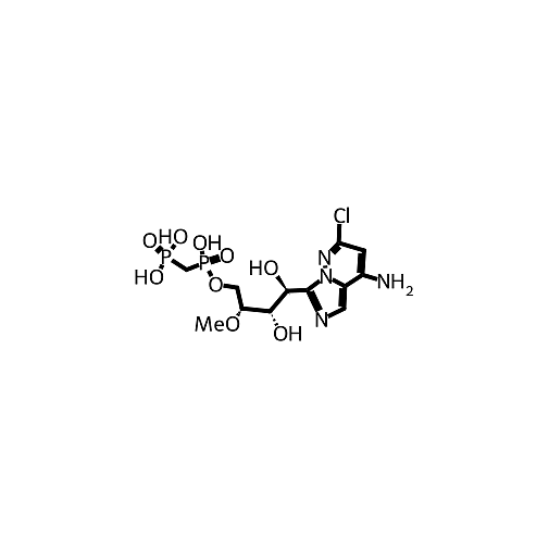 CO[C@H](COP(=O)(O)CP(=O)(O)O)[C@@H](O)[C@@H](O)c1ncc2c(N)cc(Cl)nn12